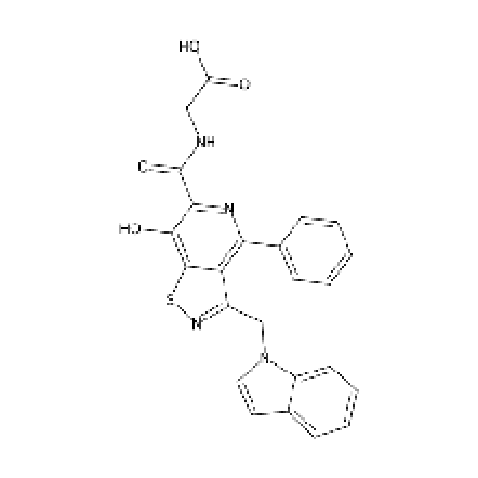 O=C(O)CNC(=O)c1nc(-c2ccccc2)c2c(Cn3ccc4ccccc43)nsc2c1O